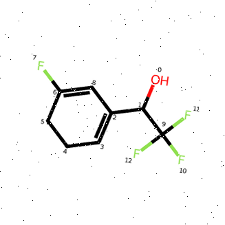 OC(C1=CC[CH]C(F)=C1)C(F)(F)F